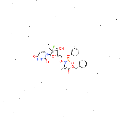 C[C@@H](C(=O)OCc1ccccc1)N(OC[C@H]1O[C@@H](n2ccc(=O)[nH]c2=O)[C@](C)(F)[C@@H]1O)[PH](=O)Oc1ccccc1